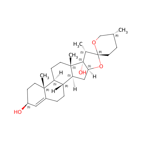 C[C@@H]1CC[C@@]2(OC1)O[C@H]1C[C@H]3[C@@H]4CCC5=C[C@@H](O)CC[C@]5(C)[C@H]4CC[C@]3(C)[C@@]1(O)[C@@H]2C